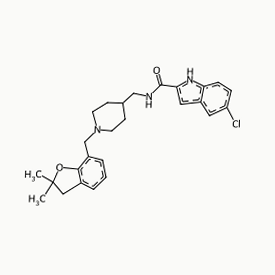 CC1(C)Cc2cccc(CN3CCC(CNC(=O)c4cc5cc(Cl)ccc5[nH]4)CC3)c2O1